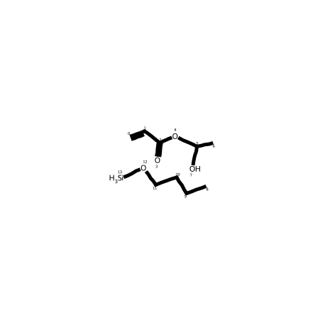 C=CC(=O)OC(C)O.CCCCO[SiH3]